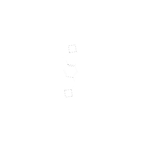 c1cc(SC2CCC2)ccc1OC1CCC1